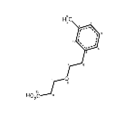 Cc1cccc(CCOCCC(=O)O)c1